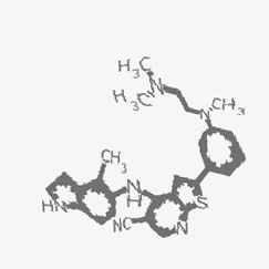 Cc1c(Nc2c(C#N)cnc3sc(-c4cccc(N(C)CCN(C)C)c4)cc23)ccc2[nH]ccc12